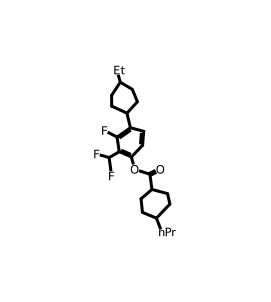 CCCC1CCC(C(=O)Oc2ccc(C3CCC(CC)CC3)c(F)c2C(F)F)CC1